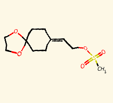 CS(=O)(=O)OCC=C1CCC2(CC1)OCCO2